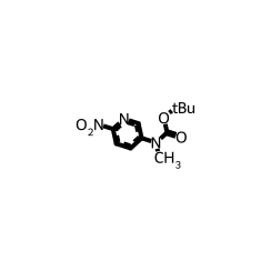 CN(C(=O)OC(C)(C)C)c1ccc([N+](=O)[O-])nc1